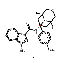 CCCCn1nc(C(=O)N[C@H]2C[C@H]3COC[C@@H](C2)N3Cc2ccc(OC)cc2)c2ccccc21